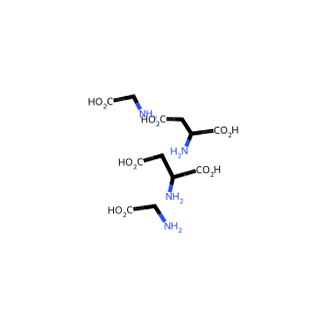 NC(CC(=O)O)C(=O)O.NC(CC(=O)O)C(=O)O.NCC(=O)O.NCC(=O)O